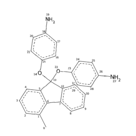 Cc1cccc2c1-c1ccccc1C2(Oc1ccc(N)cc1)Oc1ccc(N)cc1